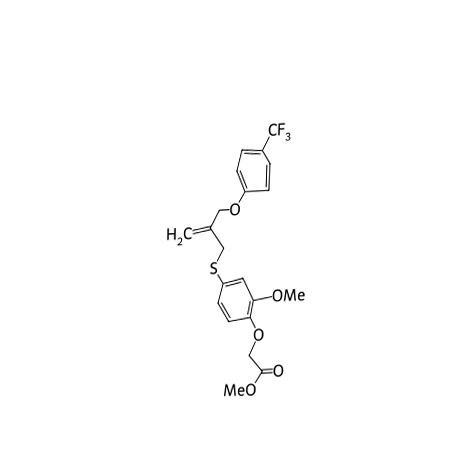 C=C(COc1ccc(C(F)(F)F)cc1)CSc1ccc(OCC(=O)OC)c(OC)c1